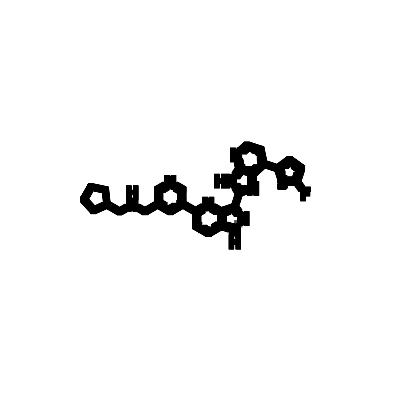 Fc1ccc(-c2ccnc3[nH]c(-c4n[nH]c5ccc(-c6cncc(CNCC7CCCC7)c6)nc45)nc23)s1